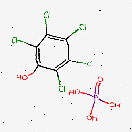 O=P(O)(O)O.Oc1c(Cl)c(Cl)c(Cl)c(Cl)c1Cl